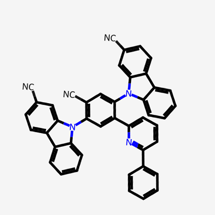 N#Cc1ccc2c3ccccc3n(-c3cc(-c4cccc(-c5ccccc5)n4)c(-n4c5ccccc5c5ccc(C#N)cc54)cc3C#N)c2c1